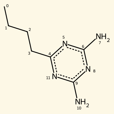 CCCCc1nc(N)nc(N)n1